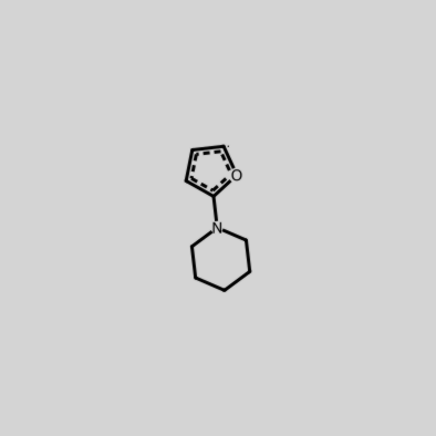 [c]1ccc(N2CCCCC2)o1